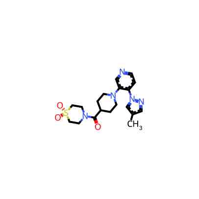 Cc1cnn(-c2ccncc2N2CCC(C(=O)N3CCS(=O)(=O)CC3)CC2)c1